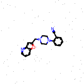 N#Cc1ccccc1N1CCN(Cc2cc3ncccc3o2)CC1